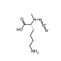 CN(N=[N+]=[N-])[C@H](CCCCN)C(=O)O